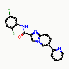 O=C(Nc1cc(F)ccc1F)c1cn2cc(-c3ccccn3)ccc2n1